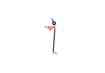 CCCCCCCCCCCCCCCCCCC[C@H](COP(=O)(O)OC)Oc1ccc(C#N)c(F)c1